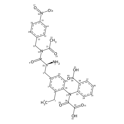 CCc1cc(C[C@H](N)C(=O)N(Cc2ccc([N+](=O)[O-])cc2)C(C)=O)ccc1N(C(=O)C(=O)O)c1ccccc1C(=O)O